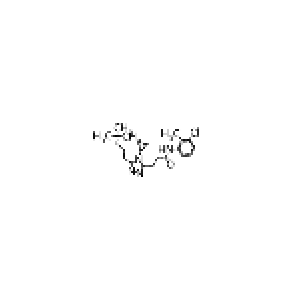 Cc1c(Cl)cccc1NC(=O)CCc1nnc(CCCC(C)(C)C)n1C1CC1